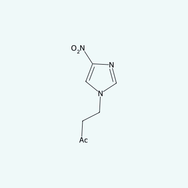 CC(=O)CCn1cnc([N+](=O)[O-])c1